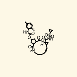 Cc1ccc(F)c(NC(=O)OC2CC3C(=O)NC4(C(=O)NS(=O)(=O)C5CC5)CC4C=CCCCCN(C)C(=O)C3C2)c1